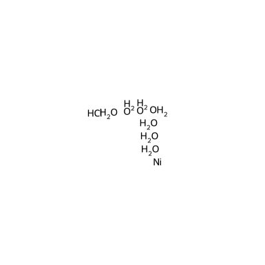 Cl.O.O.O.O.O.O.O.[Ni]